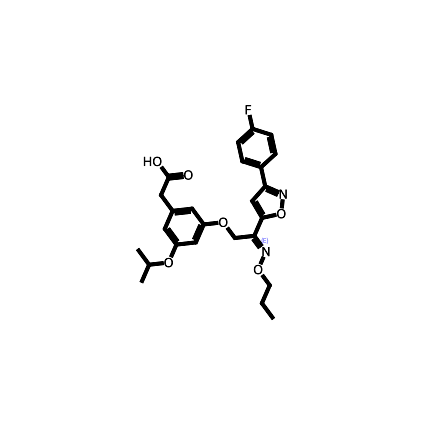 CCCO/N=C(\COc1cc(CC(=O)O)cc(OC(C)C)c1)c1cc(-c2ccc(F)cc2)no1